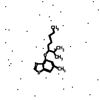 CCCCCC(Oc1cc(C)cc2scnc12)C(C)C